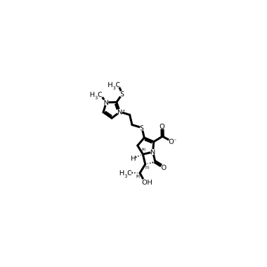 CSc1n(C)cc[n+]1CCSC1=C(C(=O)[O-])N2C(=O)[C@H]([C@@H](C)O)[C@H]2C1